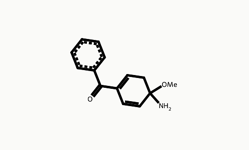 COC1(N)C=CC(C(=O)c2ccccc2)=CC1